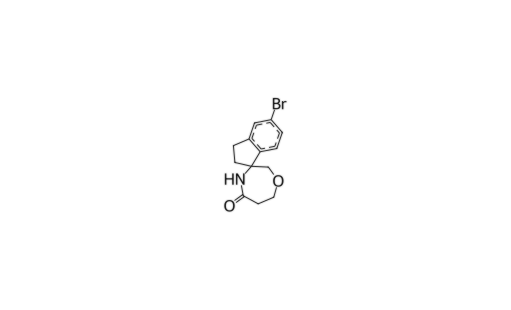 O=C1CCOCC2(CCc3cc(Br)ccc32)N1